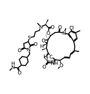 CNC(=O)C1CCC(CN2C(=O)CC(SCCCN(C)[C@@H](C)C(=O)O[C@H]3CC(=O)N(C)c4cc(cc(C)c4Cl)C/C(C)=C/C=C/[C@@H](OC)[C@@]4(O)C[C@H](OC(=O)N4)[C@@H](C)[C@@H]4O[C@@]34C)C2=O)CC1